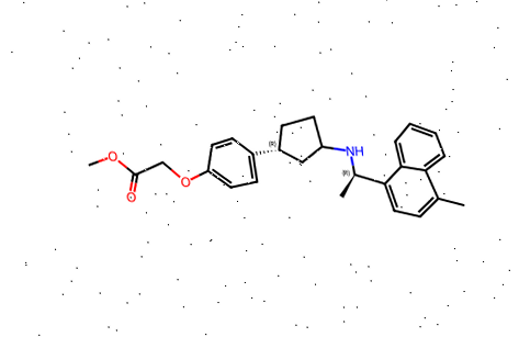 COC(=O)COc1ccc([C@@H]2CCC(N[C@H](C)c3ccc(C)c4ccccc34)C2)cc1